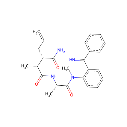 C=CC[C@H](C(N)=O)[C@@H](C)C(=O)N[C@@H](C)C(=O)N(C)c1ccccc1C(=N)c1ccccc1